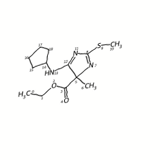 CCOC(=O)C1(C)N=C(SC)N=C1NC1CCCC1